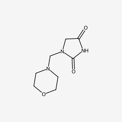 O=C1CN(CN2CCOCC2)C(=O)N1